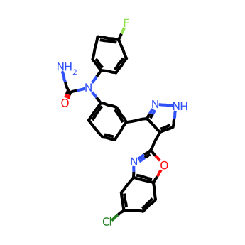 NC(=O)N(c1ccc(F)cc1)c1cccc(-c2n[nH]cc2-c2nc3cc(Cl)ccc3o2)c1